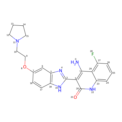 Nc1c(-c2nc3cc(OCCN4CCCC4)ccc3[nH]2)c(=O)[nH]c2cccc(F)c12